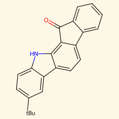 CC(C)(C)c1ccc2[nH]c3c4c(ccc3c2c1)-c1ccccc1C4=O